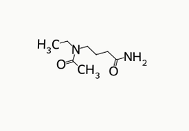 CCN(CCCC(N)=O)C(C)=O